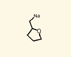 [Na][CH2]C1CCCO1